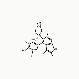 Cc1cc(-c2c([C@](CC3CC3)(OC(C)(C)C)C(=O)O)c(C)nc3[nH]c(C)c(C)c23)cc(C)c1O